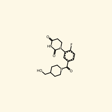 O=C1CCN(c2cc(C(=O)N3CCC(CO)CC3)ccc2F)C(=O)N1